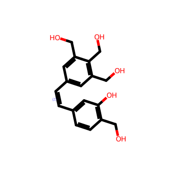 OCc1ccc(/C=C\c2cc(CO)c(CO)c(CO)c2)cc1O